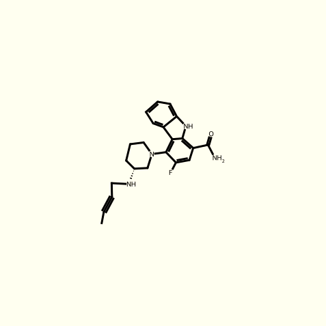 CC#CCN[C@@H]1CCCN(c2c(F)cc(C(N)=O)c3[nH]c4ccccc4c23)C1